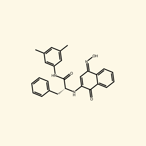 Cc1cc(C)cc(NC(=O)[C@@H](Cc2ccccc2)NC2=C/C(=N/O)c3ccccc3C2=O)c1